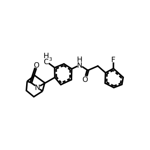 Cc1cc(NC(=O)Cc2ccccc2F)ccc1N1C(=O)C2CCC1CC2